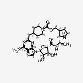 CCNC(=O)[C@H]1O[C@@H](n2cnc3c(N)nc(CC4CCN(C(=O)OCC5CCNC5)CC4)nc32)C(O)C1O